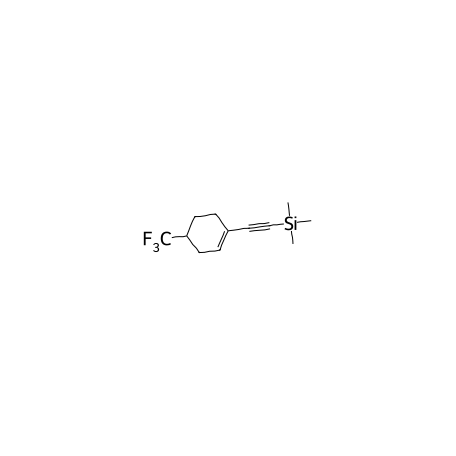 C[Si](C)(C)C#CC1=CCC(C(F)(F)F)CC1